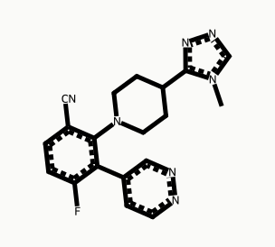 Cn1cnnc1C1CCN(c2c(C#N)ccc(F)c2-c2ccnnc2)CC1